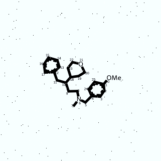 COc1ccc(CN(C)CCC(Cc2ccccc2)C2CCOCC2)cc1